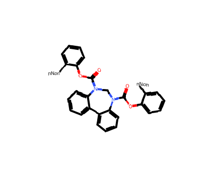 CCCCCCCCCc1ccccc1OC(=O)N1CN(C(=O)Oc2ccccc2CCCCCCCCC)c2ccccc2-c2ccccc21